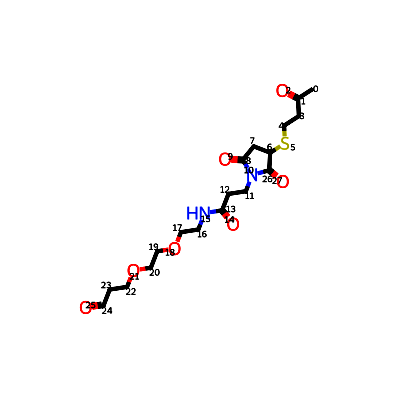 CC(=O)CCSC1CC(=O)N(CCC(=O)NCCOCCOCCC=O)C1=O